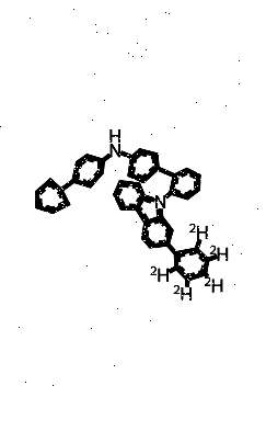 [2H]c1c([2H])c([2H])c(-c2ccc3c4ccccc4n(-c4ccccc4-c4ccc(Nc5ccc(-c6ccccc6)cc5)cc4)c3c2)c([2H])c1[2H]